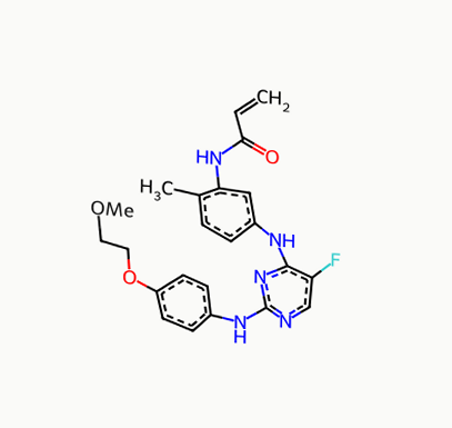 C=CC(=O)Nc1cc(Nc2nc(Nc3ccc(OCCOC)cc3)ncc2F)ccc1C